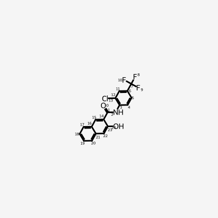 O=C(Nc1ccc(C(F)(F)F)cc1Cl)c1cc2ccccc2cc1O